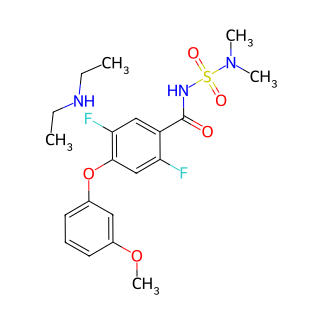 CCNCC.COc1cccc(Oc2cc(F)c(C(=O)NS(=O)(=O)N(C)C)cc2F)c1